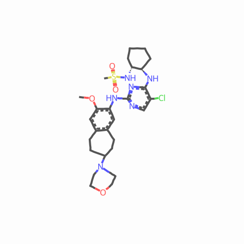 COc1cc2c(cc1Nc1ncc(Cl)c(N[C@@H]3CCCC[C@H]3NS(C)(=O)=O)n1)CCC(N1CCOCC1)CC2